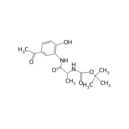 CC(=O)c1ccc(O)c(NC(=O)C(C)NC(=O)OC(C)(C)C)c1